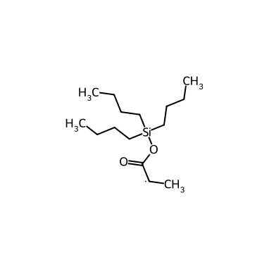 C[CH]C(=O)O[Si](CCCC)(CCCC)CCCC